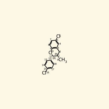 C[C@@H]1Cc2cc(Cl)ccc2O[C@H]1c1ccc(Cl)cc1